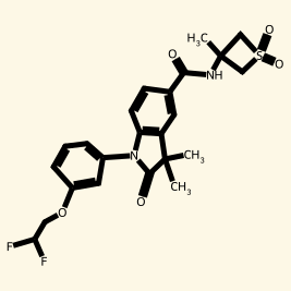 CC1(NC(=O)c2ccc3c(c2)C(C)(C)C(=O)N3c2cccc(OCC(F)F)c2)CS(=O)(=O)C1